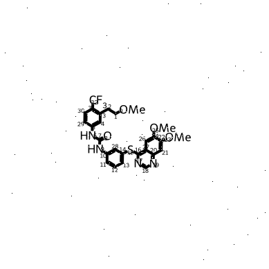 COCCc1cc(NC(=O)Nc2cccc(Sc3ncnc4cc(OC)c(OC)cc34)c2)ccc1C(F)(F)F